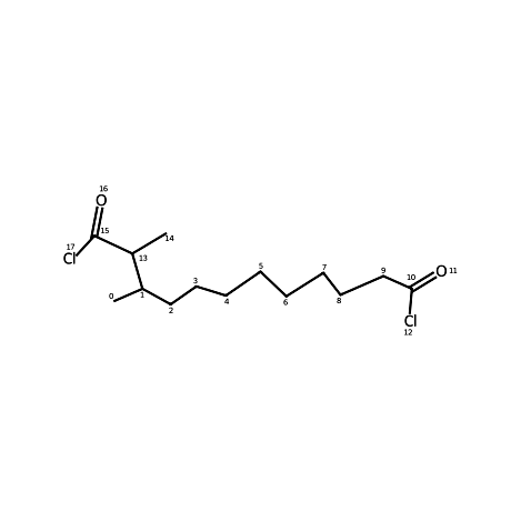 CC(CCCCCCCCC(=O)Cl)C(C)C(=O)Cl